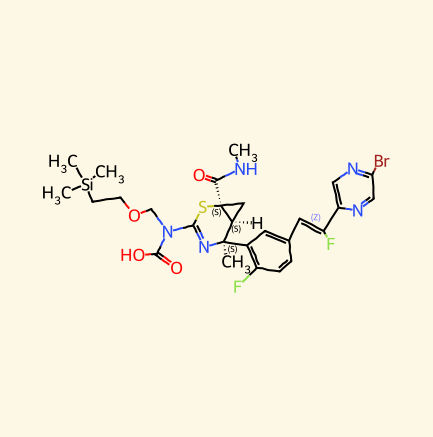 CNC(=O)[C@]12C[C@H]1[C@@](C)(c1cc(/C=C(\F)c3cnc(Br)cn3)ccc1F)N=C(N(COCC[Si](C)(C)C)C(=O)O)S2